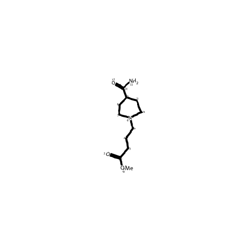 COC(=O)CCCN1CCC(C(N)=O)CC1